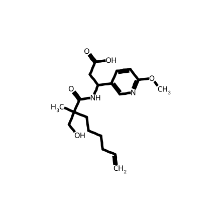 C=CCCCCC(C)(CO)C(=O)NC(CC(=O)O)c1ccc(OC)nc1